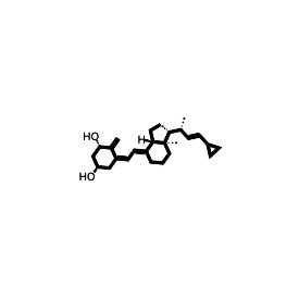 C=C1/C(=C\C=C2/CCC[C@]3(C)[C@@H]([C@H](C)/C=C/C4CC4)CC[C@@H]23)C[C@@H](O)C[C@@H]1O